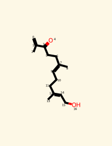 C=C(C)C(=O)CCC(C)=CCCC(C)=CCO